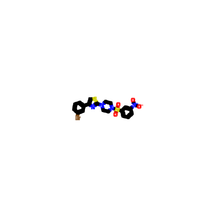 O=[N+]([O-])c1cccc(S(=O)(=O)N2CCN(c3nc(-c4cccc(Br)c4)cs3)CC2)c1